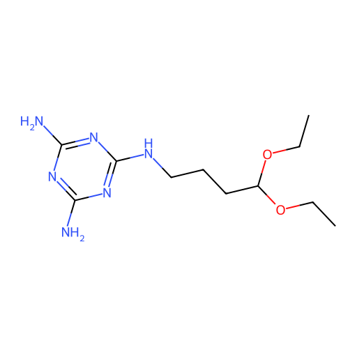 CCOC(CCCNc1nc(N)nc(N)n1)OCC